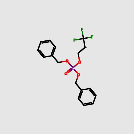 O=P(OC[CH]C(F)(F)F)(OCc1ccccc1)OCc1ccccc1